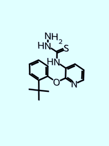 CC(C)(C)c1ccccc1Oc1ncccc1NC(=S)NN